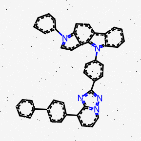 c1ccc(-c2ccc(-c3cccn4nc(-c5ccc(-n6c7ccccc7c7ccc8c(ccn8-c8ccccc8)c76)cc5)nc34)cc2)cc1